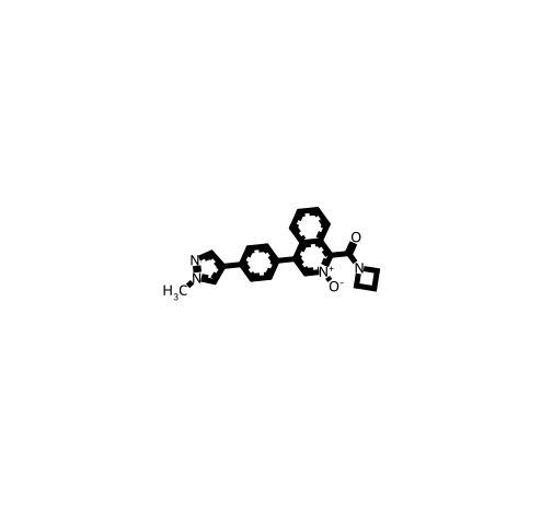 Cn1cc(-c2ccc(-c3c[n+]([O-])c(C(=O)N4CCC4)c4ccccc34)cc2)cn1